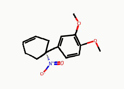 COc1ccc([C@]2([N+](=O)[O-])CC=CCC2)cc1OC